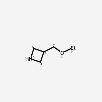 CCOCC1CNC1